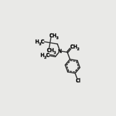 C=CN(CC(C)(C)C)C(=C)c1ccc(Cl)cc1